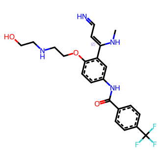 CN/C(=C\C=N)c1cc(NC(=O)c2ccc(C(F)(F)F)cc2)ccc1OCCNCCO